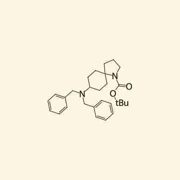 CC(C)(C)OC(=O)N1CCCC12CCC(N(Cc1ccccc1)Cc1ccccc1)CC2